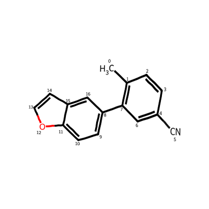 Cc1ccc(C#N)cc1-c1ccc2occc2c1